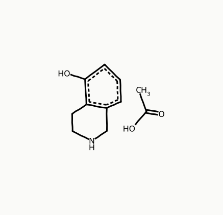 CC(=O)O.Oc1cccc2c1CCNC2